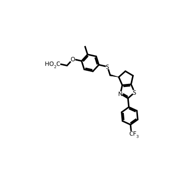 Cc1cc(SC[C@H]2CCc3sc(-c4ccc(C(F)(F)F)cc4)nc32)ccc1OCC(=O)O